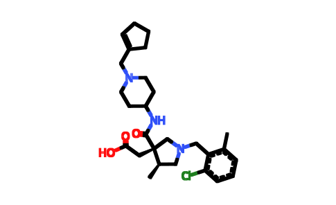 Cc1cccc(Cl)c1CN1C[C@@H](C)[C@](CC(=O)O)(C(=O)NC2CCN(CC3=CCCC3)CC2)C1